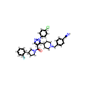 N#Cc1ccc(CN2CCC(c3c(C(=O)N4CC[C@@H](c5ccccc5F)C4)cnn3-c3ccc(Cl)cc3)CC2)cc1